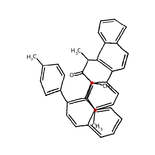 Cc1ccc(-c2ccc3ccccc3c2C(C)C(=O)C(C)c2c(-c3ccc(C)cc3)ccc3ccccc23)cc1